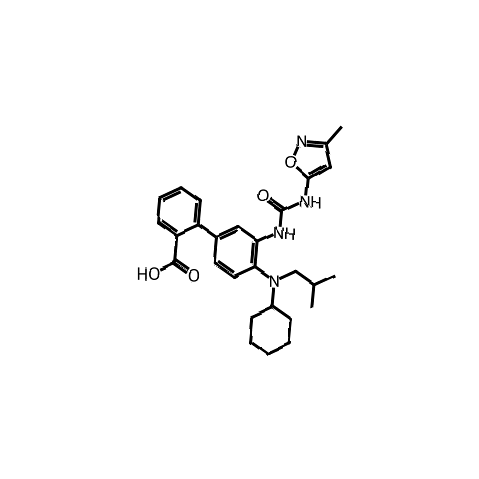 Cc1cc(NC(=O)Nc2cc(-c3ccccc3C(=O)O)ccc2N(CC(C)C)C2CCCCC2)on1